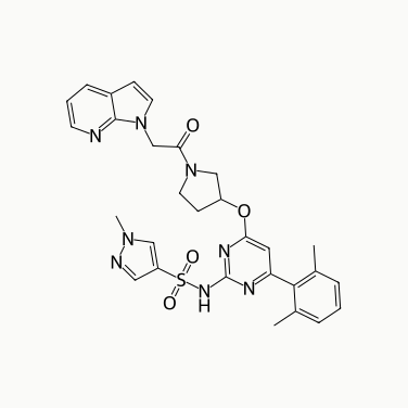 Cc1cccc(C)c1-c1cc(OC2CCN(C(=O)Cn3ccc4cccnc43)C2)nc(NS(=O)(=O)c2cnn(C)c2)n1